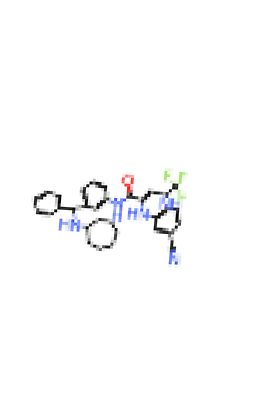 N#Cc1cccc(N/C(=C\C(=N)C(F)(F)F)C(=O)Nc2cccc(C(NC3CCCCCC3)c3ccccc3)c2)c1